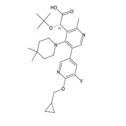 Cc1ncc(-c2cnc(OCC3CC3)c(F)c2)c(N2CCC(C)(C)CC2)c1[C@H](OC(C)(C)C)C(=O)O